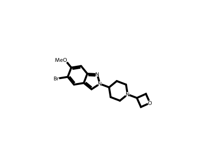 COc1cc2nn(C3CCN(C4COC4)CC3)cc2cc1Br